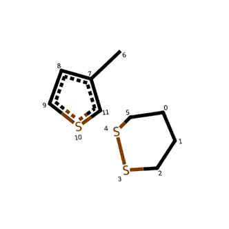 C1CCSSC1.Cc1ccsc1